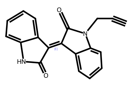 C#CCN1C(=O)/C(=C2/C(=O)Nc3ccccc32)c2ccccc21